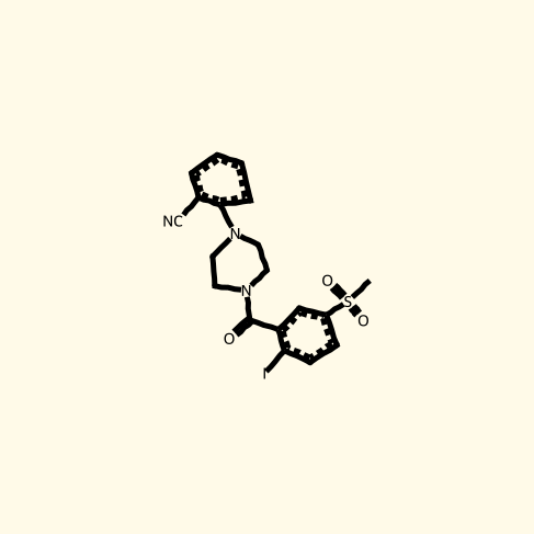 CS(=O)(=O)c1ccc(I)c(C(=O)N2CCN(c3ccccc3C#N)CC2)c1